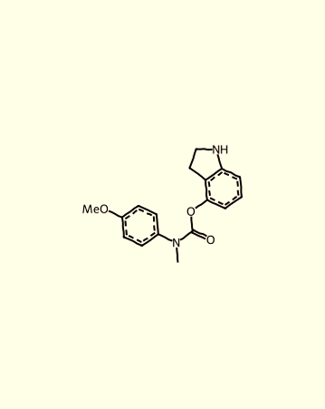 COc1ccc(N(C)C(=O)Oc2cccc3c2CCN3)cc1